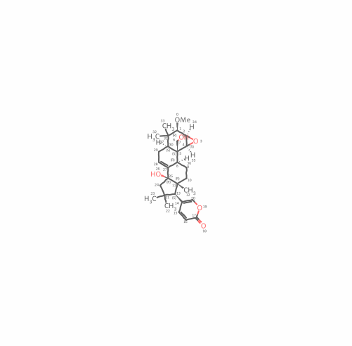 CO[C@H]1[C@H]2O[C@H]2[C@]2(CO)[C@H]3CC[C@]4(C)[C@@H](c5ccc(=O)oc5)C(C)(C)C[C@]4(O)C3=CC[C@H]2C1(C)C